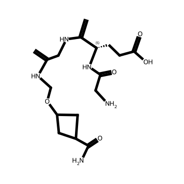 C=C(CNC(=C)[C@H](CCC(=O)O)NC(=O)CN)NCOC1CC(C(N)=O)C1